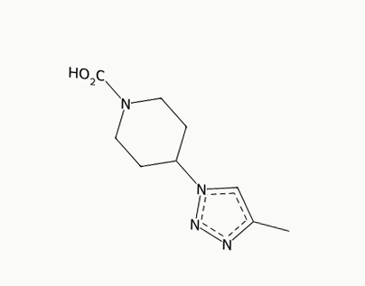 Cc1cn(C2CCN(C(=O)O)CC2)nn1